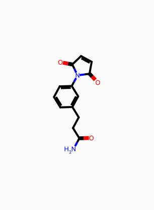 NC(=O)CCc1cccc(N2C(=O)C=CC2=O)c1